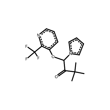 CC(C)(C)C(=O)C(Oc1cccnc1C(F)(F)F)n1cccc1